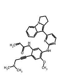 C=CC(=O)Nc1cc(Nc2nccc(-c3c4n(c5ccccc35)CCC4)n2)c(OC)cc1C#CCN(C)C